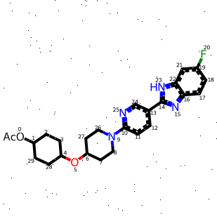 CC(=O)OC1CCC(OC2CCN(c3ccc(-c4nc5ccc(F)cc5[nH]4)cn3)CC2)CC1